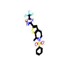 CC1c2sc(-c3noc(C(F)(F)F)n3)cc2CCN1S(=O)(=O)c1ccccc1